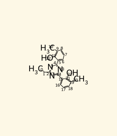 CCc1nc(-c2cccc(C)c2O)nc(-c2cccc(C)c2O)n1